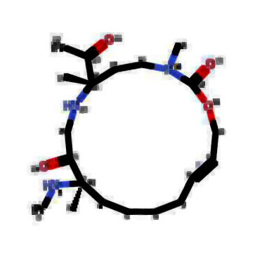 CC(C)N[C@]1(C)CCCC/C=C/COC(=O)N(C)CC[C@@](C)(C(=O)C(C)C)NCC1=O